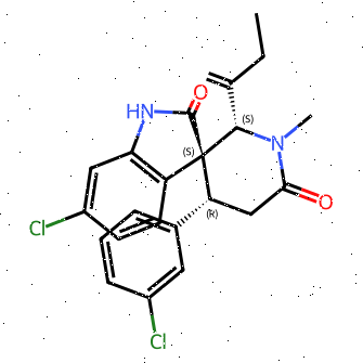 C=C(CC)[C@@H]1N(C)C(=O)C[C@H](c2cccc(Cl)c2)[C@@]12C(=O)Nc1cc(Cl)ccc12